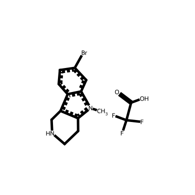 Cn1c2c(c3ccc(Br)cc31)CNCC2.O=C(O)C(F)(F)F